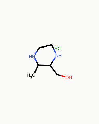 CC1NCCNC1CO.Cl